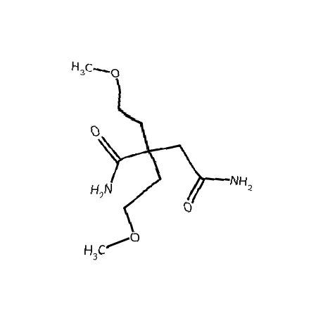 COCCC(CCOC)(CC(N)=O)C(N)=O